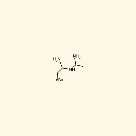 CCCCCC(N)NC(C)N